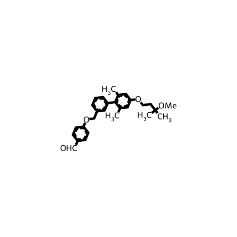 COC(C)(C)CCOc1cc(C)c(-c2cccc(COc3ccc(C=O)cc3)c2)c(C)c1